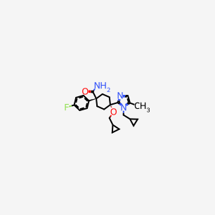 Cc1cnc([C@]2(OCC3CC3)CC[C@](C(N)=O)(c3ccc(F)cc3)CC2)n1CC1CC1